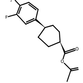 C=C(C)OC(=O)[C@H]1CC[C@@H](c2ccc(N)c(F)c2)CC1